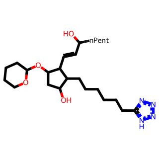 CCCCCC(O)C=CC1C(OC2CCCCO2)CC(O)C1CCCCCCc1nnn[nH]1